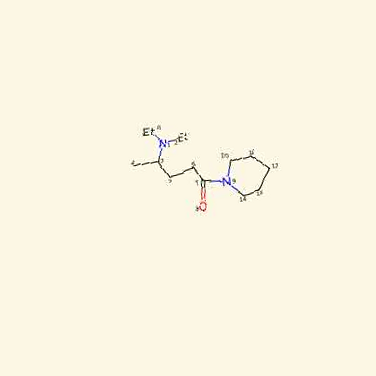 CCN(CC)C(C)CCC(=O)N1CCCCC1